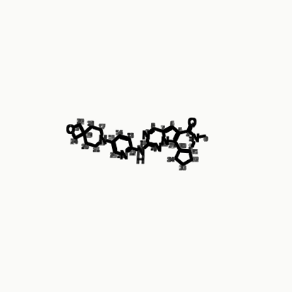 CN(C)C(=O)c1cc2cnc(Nc3ccc(N4CCC5(CC4)COC5)cn3)nn2c1C1=CCCC1